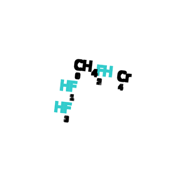 C.F.F.F.[Cr]